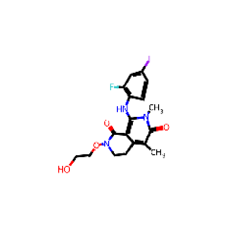 Cc1c2c(c(Nc3ccc(I)cc3F)n(C)c1=O)C(=O)N(OCCO)CC2